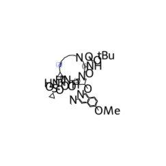 COc1ccc2c(OC3C[C@H]4C(=O)N[C@]5(C(=O)NS(=O)(=O)C6CC6)CC5/C=C\CCCN(C)C[C@H](NC(=O)OC(C)(C)C)C(=O)N4C3)nc(N(C)C)cc2c1